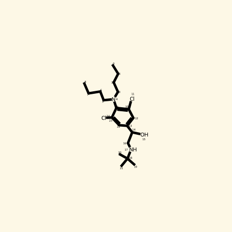 CCCCN(CCCC)c1c(Cl)cc(C(O)CNC(C)(C)C)cc1Cl